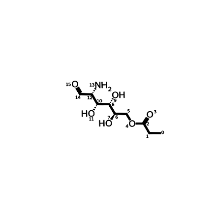 CCC(=O)OC[C@@H](O)[C@@H](O)[C@H](O)[C@@H](N)C=O